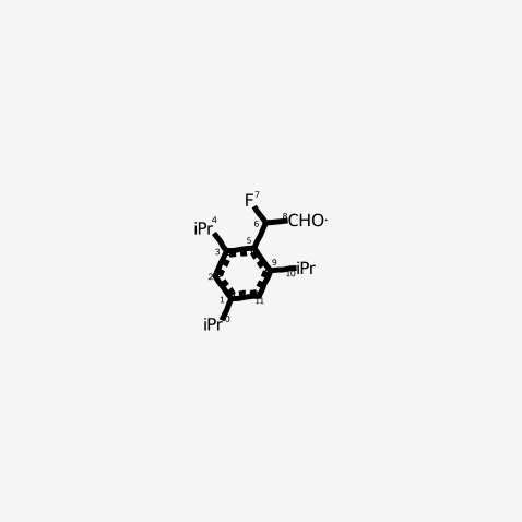 CC(C)c1cc(C(C)C)c(C(F)[C]=O)c(C(C)C)c1